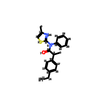 Cc1csc(N(C(=O)C(C)c2ccc(CC(C)C)cc2)c2ccccc2)n1